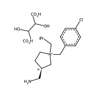 CC(C)C[N+]1(Cc2ccc(Cl)cc2)CC[C@H](CN)C1.O=C(O)C(O)C(O)C(=O)O